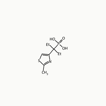 CCC(CC)(c1csc(C)n1)P(=O)(O)O